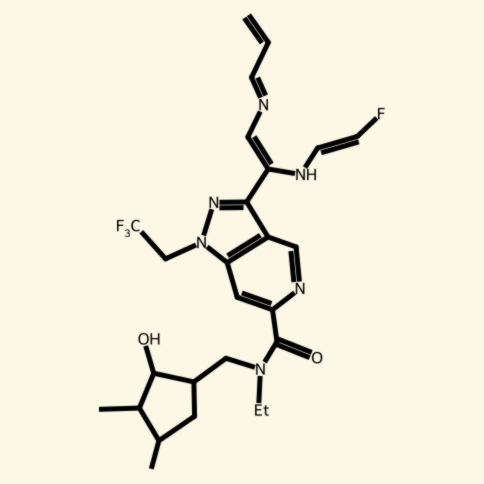 C=C/C=N/C=C(\N/C=C/F)c1nn(CC(F)(F)F)c2cc(C(=O)N(CC)CC3CC(C)C(C)C3O)ncc12